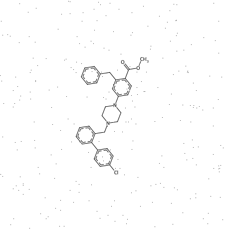 COC(=O)c1ccc(N2CCN(Cc3ccccc3-c3ccc(Cl)cc3)CC2)cc1Cc1ccccc1